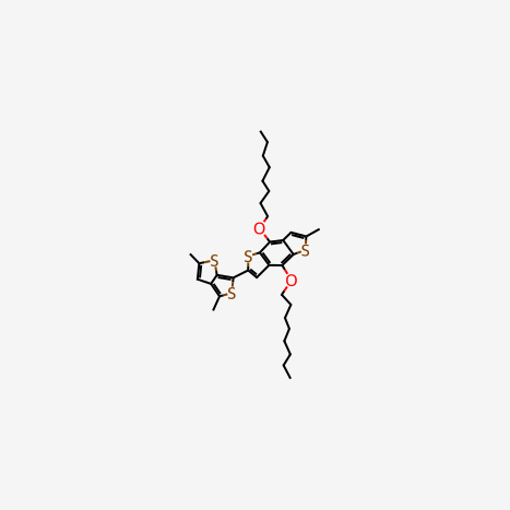 CCCCCCCCOc1c2cc(-c3sc(C)c4cc(C)sc34)sc2c(OCCCCCCCC)c2cc(C)sc12